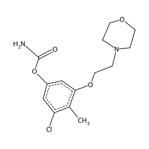 Cc1c(Cl)cc(OC(N)=O)cc1OCCN1CCOCC1